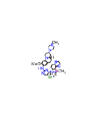 COc1cc2c(cc1Nc1ncc(Br)c(Nc3ccc4nccnc4c3P(C)C)n1)CC[C@H]1CC(N3CCN(C)CC3)CCN21